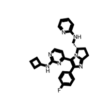 Fc1ccc(-c2nc3n(c2-c2ccnc(NC4CCC4)n2)[C@H](CNc2ccccn2)CC3)cc1